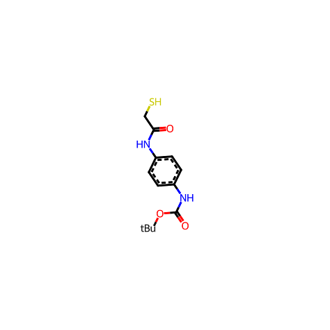 CC(C)(C)OC(=O)Nc1ccc(NC(=O)CS)cc1